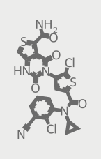 N#Cc1cccc(N(C(=O)c2cc(-n3c(=O)[nH]c4csc(C(N)=O)c4c3=O)c(Cl)s2)C2CC2)c1Cl